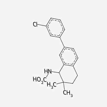 CC1(C)CCc2ccc(-c3cccc(Cl)c3)cc2C1NC(=O)O